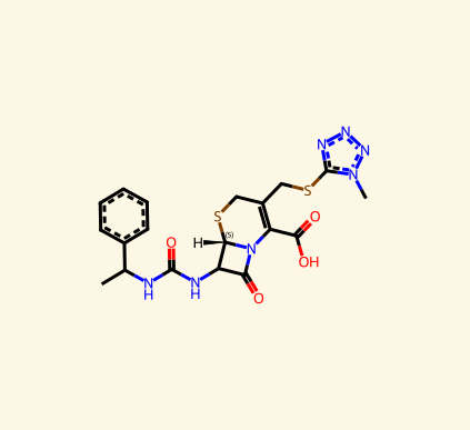 CC(NC(=O)NC1C(=O)N2C(C(=O)O)=C(CSc3nnnn3C)CS[C@@H]12)c1ccccc1